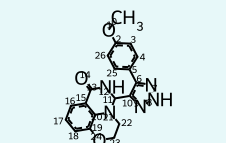 COc1ccc(-c2n[nH]nc2C2NC(=O)c3cccc4c3N2CCO4)cc1